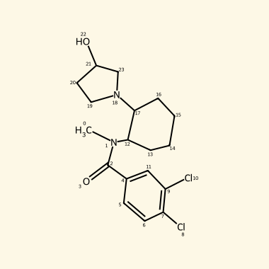 CN(C(=O)c1ccc(Cl)c(Cl)c1)C1CCCCC1N1CCC(O)C1